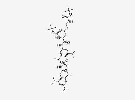 CC(C)c1cc(C(C)C)c(CC(=O)NS(=O)(=O)Oc2c(C(C)C)cc(NC(=O)C(CCCCNC(=O)OC(C)(C)C)NC(=O)OC(C)(C)C)cc2C(C)C)c(C(C)C)c1